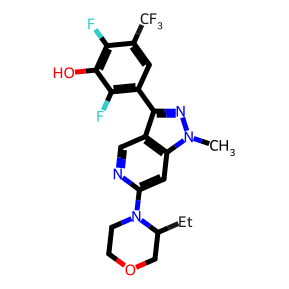 CCC1COCCN1c1cc2c(cn1)c(-c1cc(C(F)(F)F)c(F)c(O)c1F)nn2C